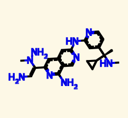 CN[C@@](C)(c1ccnc(Nc2cc3cc(/C(=C/N)N(C)N)nc(N)c3cn2)c1)C1CC1